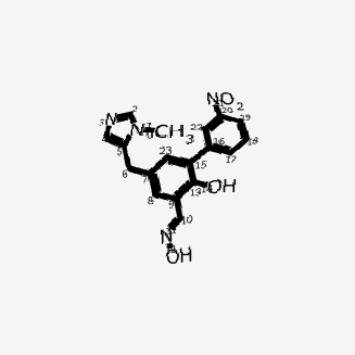 Cn1cncc1Cc1cc(C=NO)c(O)c(-c2cccc([N+](=O)[O-])c2)c1